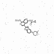 CNc1ncc(-c2nc3ccc(N4CCO[C@H](C)C4)cn3n2)c2cc(NC(=O)C3CC3)ncc12